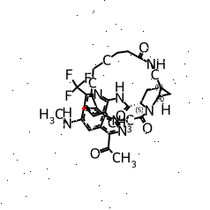 CNc1cc2c3c(c1)c(C(C)=O)nn3CC(=O)N1[C@H](C(=O)Nc3nc(C(F)(F)F)ccc3C)C[C@@]3(CNC(=O)CCCCCC2)C[C@@H]13